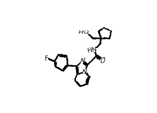 O=C(NCC1(CO)CCCC1)c1nc(-c2ccc(F)cc2)c2ccccn12